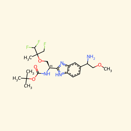 COCC(N)c1ccc2[nH]c([C@H](COC(C)(CF)C(F)F)NC(=O)OC(C)(C)C)nc2c1